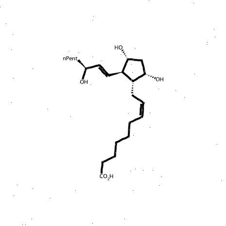 CCCCC[C@H](O)/C=C/[C@@H]1[C@@H](C/C=C\CCCCCC(=O)O)[C@@H](O)C[C@H]1O